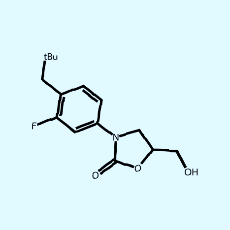 CC(C)(C)Cc1ccc(N2CC(CO)OC2=O)cc1F